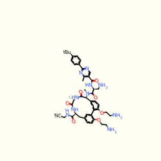 Cc1nc(-c2ccc(C(C)(C)C)cc2)ncc1C(=O)N[C@@H](CN)C(=O)N(C)[C@@H]1C(=O)N[C@@H](C)C(=O)N[C@H](C(=O)NCC#N)Cc2ccc(OCCN)c(c2)-c2cc1ccc2OCCN